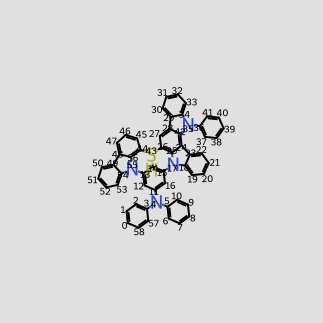 c1ccc(N(c2ccccc2)c2cc3c4c(c2)-n2c5ccccc5c5c2c(cc2c6ccccc6n(-c6ccccc6)c25)[SH]4c2cccc4c5ccccc5n-3c24)cc1